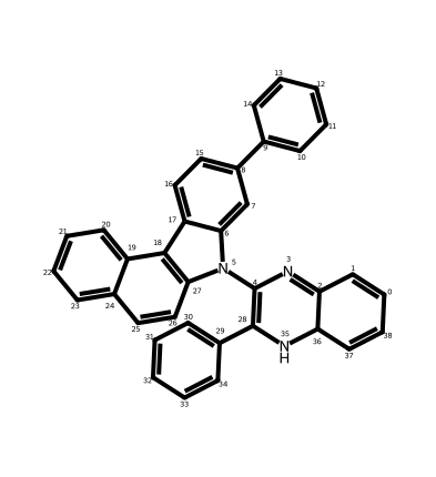 C1=CC2=NC(n3c4cc(-c5ccccc5)ccc4c4c5ccccc5ccc43)=C(c3ccccc3)NC2C=C1